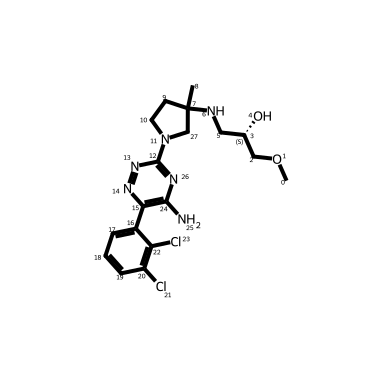 COC[C@@H](O)CNC1(C)CCN(c2nnc(-c3cccc(Cl)c3Cl)c(N)n2)C1